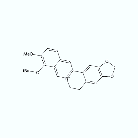 COc1ccc2cc3[n+](cc2c1OC(C)(C)C)CCc1cc2c(cc1-3)OCO2